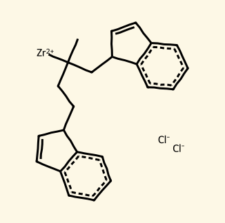 C[C]([Zr+2])(CCC1C=Cc2ccccc21)CC1C=Cc2ccccc21.[Cl-].[Cl-]